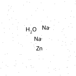 O.[Na].[Na].[Zn]